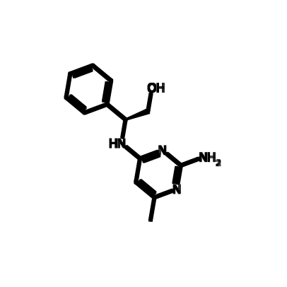 Cc1cc(N[C@H](CO)c2ccccc2)nc(N)n1